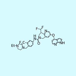 CCN1CCN(Cc2ccc(NC(=O)N3Cc4cc(Oc5ccnc6[nH]ccc56)cnc4C(C(F)F)C3)cc2C(F)(F)F)CC1